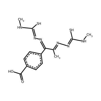 CN/C(S)=N/N=C(C)/C(=N/N=C(\S)NC)c1ccc(C(=O)O)cc1